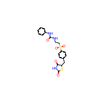 O=C(NCCS(=O)(=O)c1ccc(CC2SC(=O)NC2=O)cc1)Nc1ccccc1